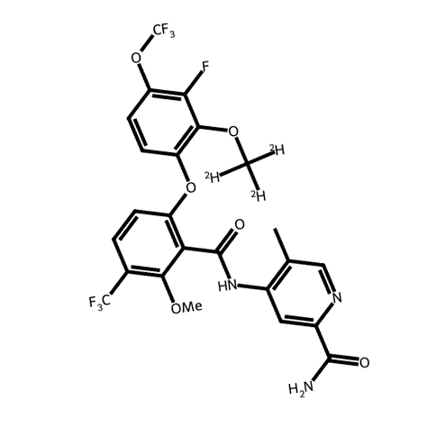 [2H]C([2H])([2H])Oc1c(Oc2ccc(C(F)(F)F)c(OC)c2C(=O)Nc2cc(C(N)=O)ncc2C)ccc(OC(F)(F)F)c1F